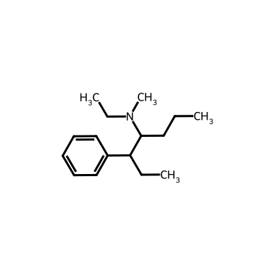 CCCC(C(CC)c1ccccc1)N(C)CC